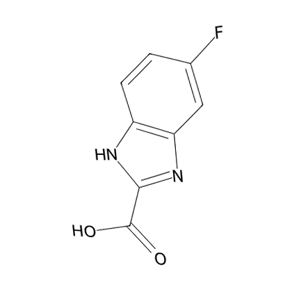 O=C(O)c1nc2cc(F)ccc2[nH]1